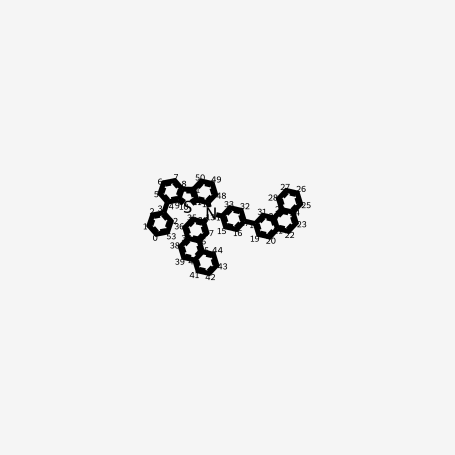 c1ccc(-c2cccc3c2sc2c(N(c4ccc(-c5ccc6ccc7ccccc7c6c5)cc4)c4ccc5ccc6ccccc6c5c4)cccc23)cc1